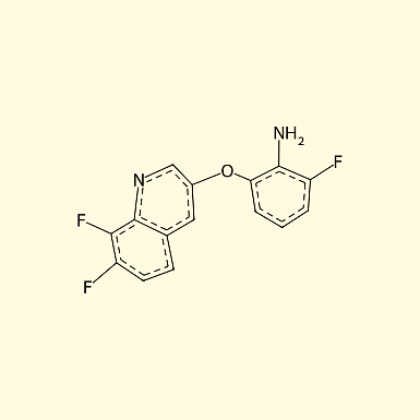 Nc1c(F)cccc1Oc1cnc2c(F)c(F)ccc2c1